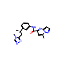 Cc1cc(C(=O)Nc2cccc([C@H](C)Cc3nncn3C)c2)nc2ccnn12